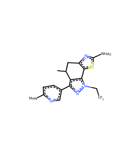 CNc1ccc(-c2nn(CC(F)(F)F)c3c2C(C)Cc2nc(NC(C)=O)sc2-3)cn1